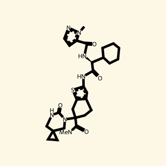 CNC(=O)C1(N2CC3(CC3)CNC2=O)CCc2cc(NC(=O)[C@@H](NC(=O)c3ccnn3C)C3CCCCC3)sc2C1